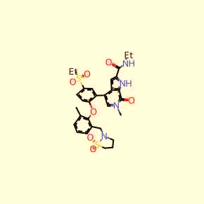 CCNC(=O)c1cc2c(-c3cc(S(=O)(=O)CC)ccc3Oc3c(C)cccc3CN3CCCS3(=O)=O)cn(C)c(=O)c2[nH]1